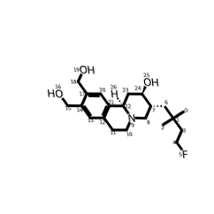 CC(C)(CCF)C[C@@H]1CN2CCc3cc(CO)c(CO)cc3[C@H]2C[C@H]1O